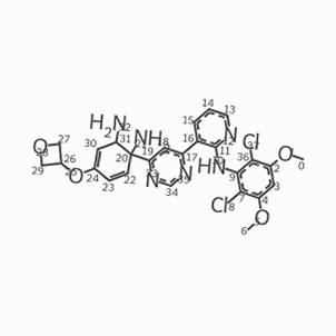 COc1cc(OC)c(Cl)c(Nc2ncccc2-c2cc(C3(N)C=CC(OC4COC4)=CC3N)ncn2)c1Cl